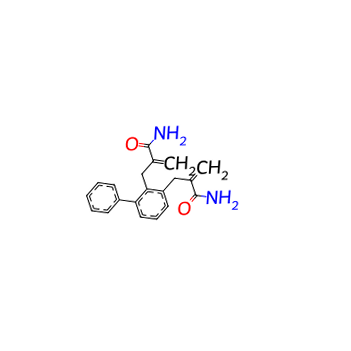 C=C(Cc1cccc(-c2ccccc2)c1CC(=C)C(N)=O)C(N)=O